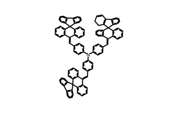 C1=CC2=C(CC1)C1(c3ccccc3C(=Cc3ccc(N(c4ccc(C=C5c6ccccc6C6(c7ccccc75)c5ccccc5-c5ccccc56)cc4)c4ccc(C=C5c6ccccc6C6(c7ccccc75)c5ccccc5-c5ccccc56)cc4)cc3)c3ccccc31)c1ccccc12